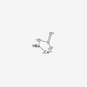 O=C([O-])[O-].[Ca+2][BaH]